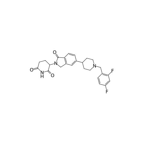 O=C1CCC(N2Cc3cc(C4CCN(Cc5ccc(F)cc5F)CC4)ccc3C2=O)C(=O)N1